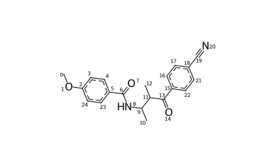 COc1ccc(C(=O)NC(C)C(C)C(=O)c2ccc(C#N)cc2)cc1